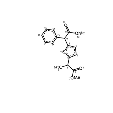 COC(=O)C(C)c1ccc(C(C(=O)OC)c2ccccc2)s1